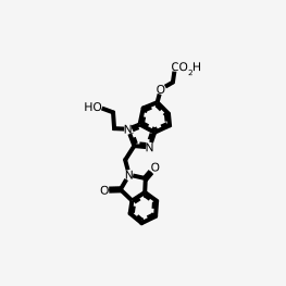 O=C(O)COc1ccc2nc(CN3C(=O)c4ccccc4C3=O)n(CCO)c2c1